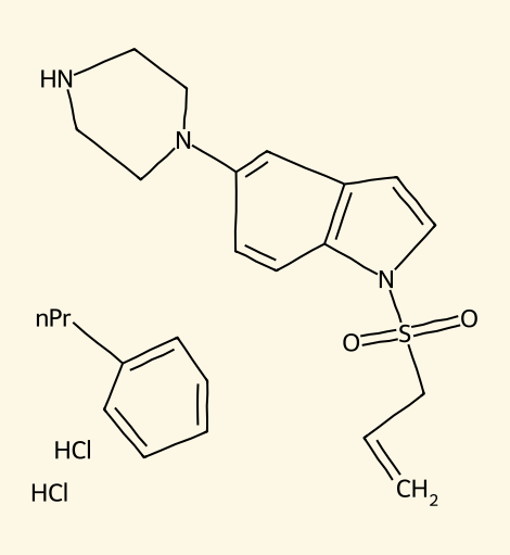 C=CCS(=O)(=O)n1ccc2cc(N3CCNCC3)ccc21.CCCc1ccccc1.Cl.Cl